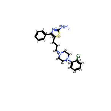 Nc1nc(-c2ccccc2)c(CCCN2CCN(c3ccccc3Cl)CC2)s1